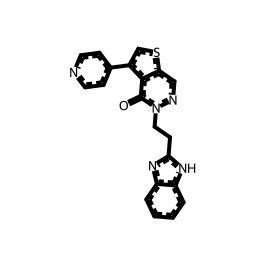 O=c1c2c(-c3ccncc3)csc2cnn1CCc1nc2ccccc2[nH]1